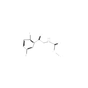 CC(C)(C)OC(=O)NCC(=O)c1cc(F)ccc1F